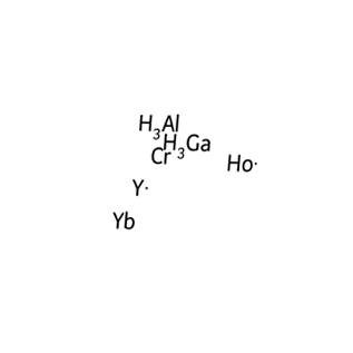 [AlH3].[Cr].[GaH3].[Ho].[Y].[Yb]